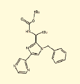 CC(C)(C)OC(=O)NC(c1nc(-c2cnccn2)cn1Cc1ccccc1)C(C)(C)C